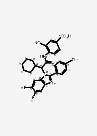 N#Cc1cc(C(=O)O)ccc1NC(=O)C(C1CCCCC1)n1c(-c2ccc(Cl)cc2)nc2cc(F)c(F)cc21